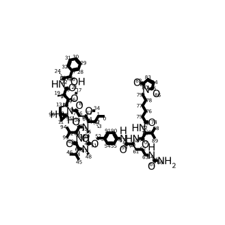 CC[C@H](C)[C@@H]([C@@H](CC(=O)N1[C@H]2C[C@H]2C[C@H]1[C@H](OC)[C@@H](C)C(=O)N[C@H](C)[C@@H](O)c1ccccc1)OC)N(C)C(=O)[C@@H](NC(=O)[C@H](C(C)C)N(C)C(=O)OCc1ccc(NC(=O)[C@H](CCCNC(N)=O)NC(=O)[C@@H](NC(=O)CCCCCN2C(=O)C=CC2=O)C(C)C)cc1)C(C)C